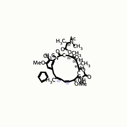 COc1cc2cc(c1Cl)N(C)C(=O)C[C@H](OC(=O)[C@H](C)N(C)C(C)=O)[C@]1(C)O[C@H]1[C@H](C)[C@@H]1C[C@@](O)(NC(=O)O1)[C@H](OC)/C=C\C=C(\C)C2.c1ccccc1